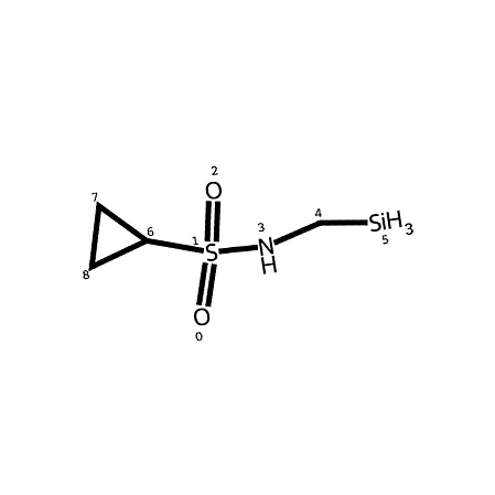 O=S(=O)(NC[SiH3])C1CC1